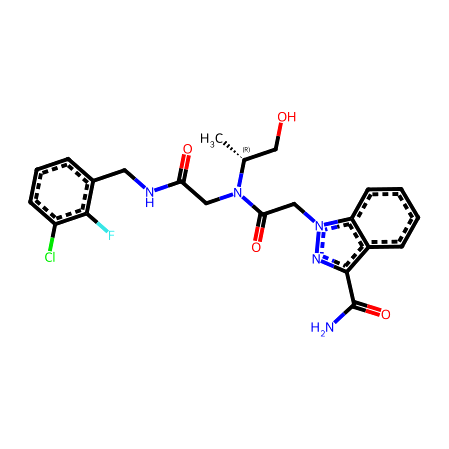 C[C@H](CO)N(CC(=O)NCc1cccc(Cl)c1F)C(=O)Cn1nc(C(N)=O)c2ccccc21